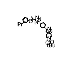 CC(C)c1cccc(OC(C)c2nnc([C@H]3CC[C@H](C4=NOC5(CCN(C(=O)OC(C)(C)C)CC5)C4)CC3)n2C)c1